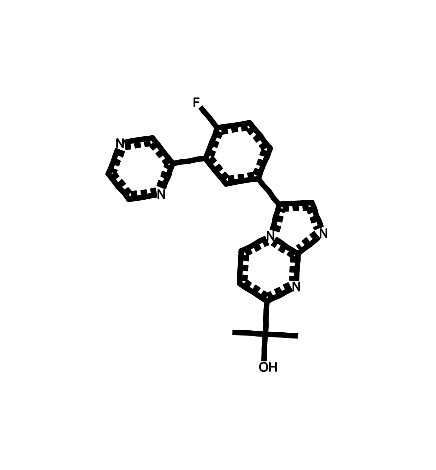 CC(C)(O)c1ccn2c(-c3ccc(F)c(-c4cnccn4)c3)cnc2n1